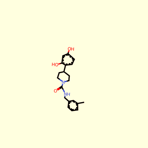 Cc1cccc(CNC(=O)N2CCC(c3ccc(O)cc3O)CC2)c1